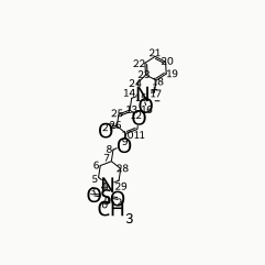 CS(=O)(=O)N1CCC(COc2coc(C[N+]3([O-])Cc4ccccc4C3)cc2=O)CC1